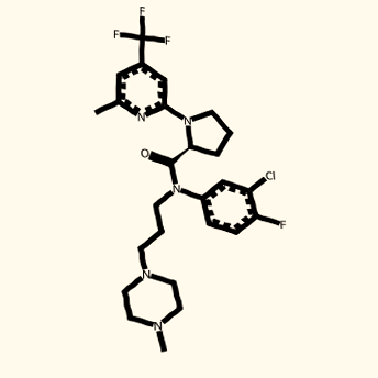 Cc1cc(C(F)(F)F)cc(N2CCC[C@H]2C(=O)N(CCCN2CCN(C)CC2)c2ccc(F)c(Cl)c2)n1